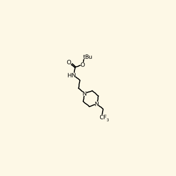 CC(C)(C)OC(=O)NCCN1CCN(CC(F)(F)F)CC1